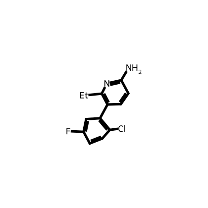 CCc1nc(N)ccc1-c1cc(F)ccc1Cl